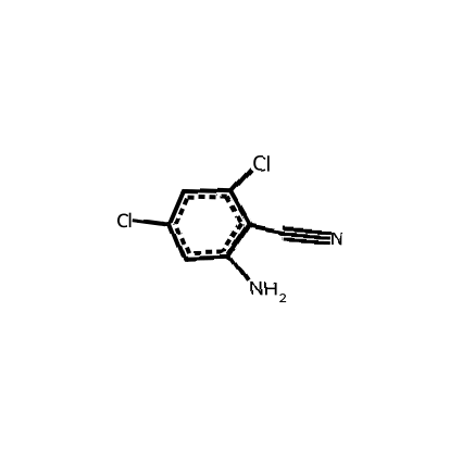 N#Cc1c(N)cc(Cl)cc1Cl